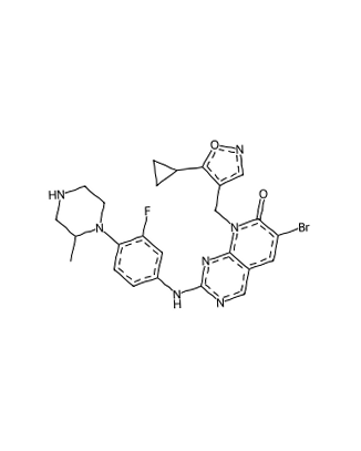 CC1CNCCN1c1ccc(Nc2ncc3cc(Br)c(=O)n(Cc4cnoc4C4CC4)c3n2)cc1F